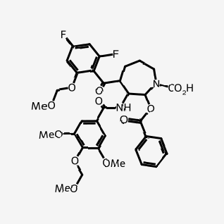 COCOc1cc(F)cc(F)c1C(=O)C1CCCN(C(=O)O)C(OC(=O)c2ccccc2)C1NC(=O)c1cc(OC)c(OCOC)c(OC)c1